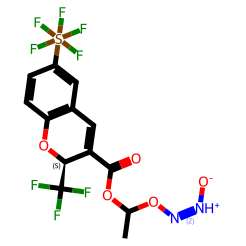 CC(O/N=[NH+]\[O-])OC(=O)C1=Cc2cc(S(F)(F)(F)(F)F)ccc2O[C@@H]1C(F)(F)F